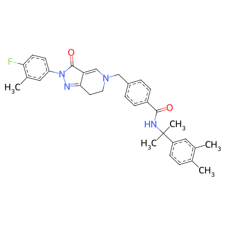 Cc1ccc(C(C)(C)NC(=O)c2ccc(CN3C=C4C(=O)N(c5ccc(F)c(C)c5)N=C4CC3)cc2)cc1C